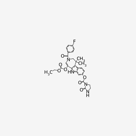 CCOC(=O)OC1=CN(C(=O)c2ccc(F)cc2)CC(C)(C)c2c1[nH]c1cc(OC(=O)N3CCNC3=O)ccc21